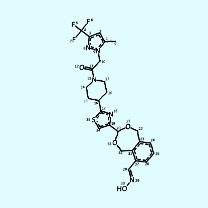 Cc1cc(C(F)(F)F)nn1CC(=O)N1CCC(c2nc(C3OCc4cccc(C=NO)c4CO3)cs2)CC1